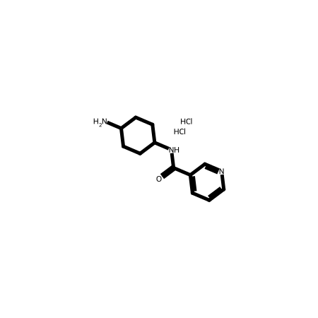 Cl.Cl.NC1CCC(NC(=O)c2cccnc2)CC1